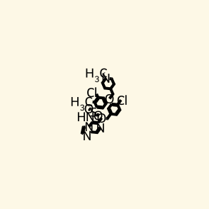 Cc1c(Cl)cccc1S(=O)(=O)Nc1c(OCc2ccc(Cl)c(OCC3CCN(C)CC3)c2)ncc2nccn12